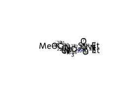 CCN(CC)CCN1C(=O)S/C(=C\c2ccc3c(cnn3Cc3ccc(OC)cc3C(F)(F)F)c2)C1=O